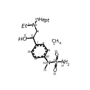 C.CCCCCCCN(CC)CC(O)c1ccc(N(C)S(N)(=O)=O)cc1